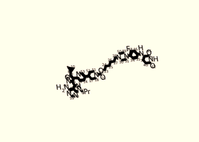 CC(C)n1nc(-c2noc(C3CC3)c2-c2ccc(C3CCN(C(=O)OCCCCCCN4CCN(c5ccc(NC6CCC(=O)NC6=O)cc5F)CC4)CC3)cn2)c2c(N)ncnc21